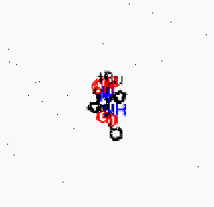 CC(C)(C)OC(=O)n1nc([C@H](NC(=O)OCc2ccccc2)c2ccccc2CCO)c2ccccc21